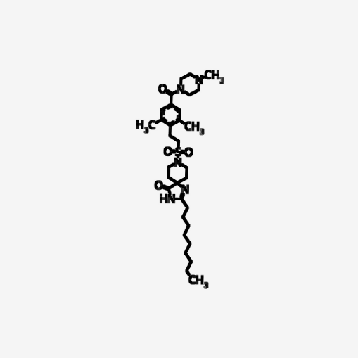 CCCCCCCCCC1=NC2(CCN(S(=O)(=O)CCc3c(C)cc(C(=O)N4CCN(C)CC4)cc3C)CC2)C(=O)N1